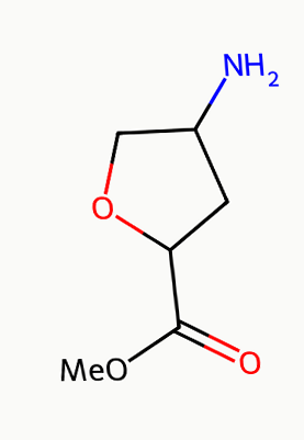 COC(=O)C1CC(N)CO1